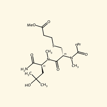 CCCC(=O)N(C)[C@@H](CSCCC(=O)OC)C(=O)N(C)[C@@H](CC(C)(C)O)C(N)=O